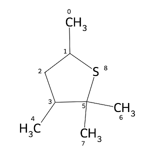 CC1CC(C)C(C)(C)S1